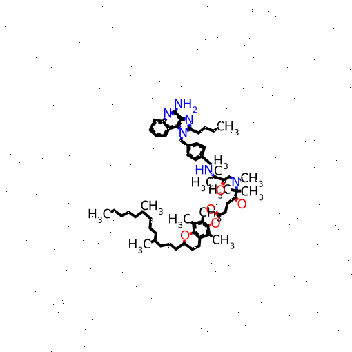 CCCCCC(C)CCCC(C)CCCC1CCc2c(C)c(OC(=O)CCC(=O)C(C)(C)N(C)CC(=O)C(C)(C)NCc3ccc(Cn4c(CCCC)nc5c(N)nc6ccccc6c54)cc3)c(C)c(C)c2O1